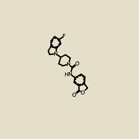 O=C1OCc2ccc(NC(=O)N3CCC(N4CCc5ccc(F)cc54)CC3)cc21